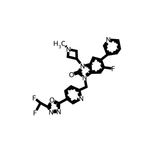 CN1CC(n2c(=O)n(Cc3ccc(-c4nnc(C(F)F)o4)cn3)c3cc(F)c(-c4cccnc4)cc32)C1